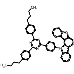 CCCCc1ccc(-c2nc(-c3ccc(CCCC)cc3)nc(-c3ccc(-n4c5ccccc5c5ccc6sc7ccccc7c6c54)cc3)n2)cc1